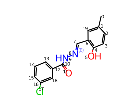 Cc1ccc(O)c(/C=N/NC(=O)c2cccc(Cl)c2)c1